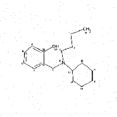 CCCCN(Cc1ccccc1O)C1CCCCC1